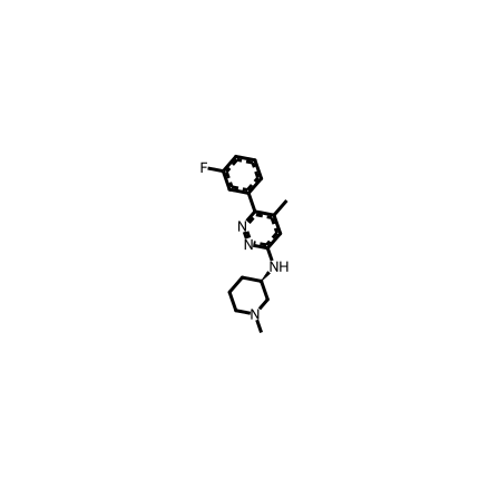 Cc1cc(N[C@@H]2CCCN(C)C2)nnc1-c1cccc(F)c1